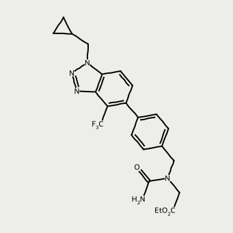 CCOC(=O)CN(Cc1ccc(-c2ccc3c(nnn3CC3CC3)c2C(F)(F)F)cc1)C(N)=O